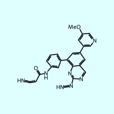 COc1cncc(-c2cc(-c3cccc(NC(=O)C=C=N)c3)c3nc(N=N)ncc3c2)c1